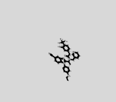 CCOc1ccc(-n2c(C(C)N(Cc3cccnc3)C(=O)Cc3ccc(C(F)(F)F)c(F)c3)nc3cc(C#N)ccc32)cc1